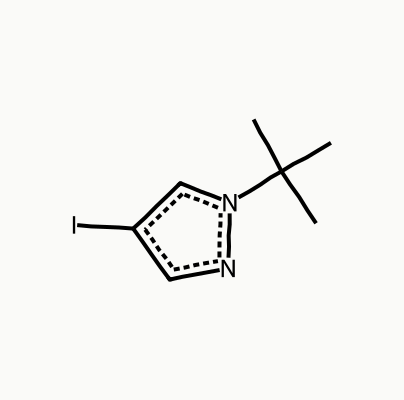 CC(C)(C)n1cc(I)cn1